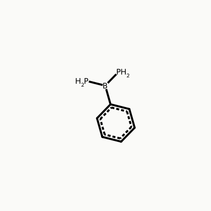 PB(P)c1ccccc1